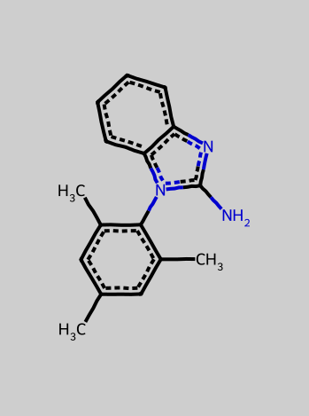 Cc1cc(C)c(-n2c(N)nc3ccccc32)c(C)c1